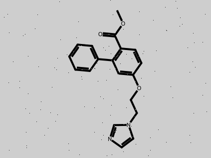 COC(=O)c1ccc(OCCn2ccnc2)cc1-c1ccccc1